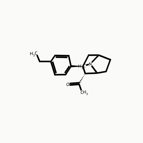 CCc1ccc([C@H]2CC3CCC([C@@H]2C(C)=O)N3C)cc1